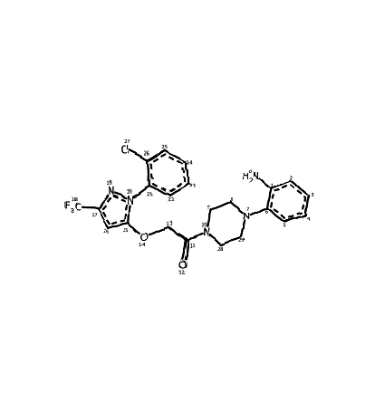 Nc1ccccc1N1CCN(C(=O)COc2cc(C(F)(F)F)nn2-c2ccccc2Cl)CC1